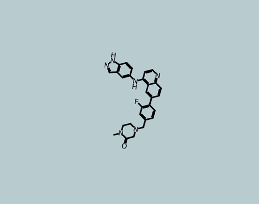 CN1CCN(Cc2ccc(-c3ccc4nccc(Nc5ccc6[nH]ncc6c5)c4c3)c(F)c2)CC1=O